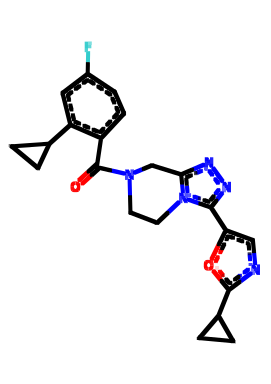 O=C(c1ccc(F)cc1C1CC1)N1CCn2c(nnc2-c2cnc(C3CC3)o2)C1